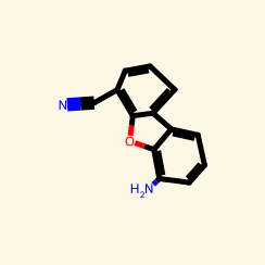 N#Cc1cccc2c1oc1c(N)cccc12